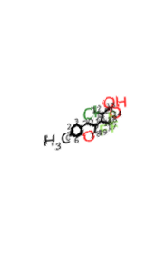 Cc1ccc2c(c1)OCC(C(C(Cl)C(=O)O)C(F)(F)F)=C2